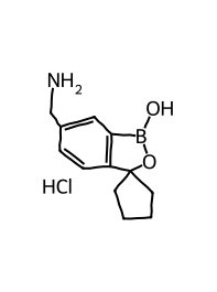 Cl.NCc1ccc2c(c1)B(O)OC21CCCC1